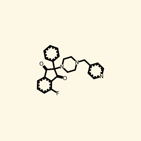 O=C1c2cccc(F)c2C(=O)C1(c1ccccc1)N1CCN(Cc2ccncc2)CC1